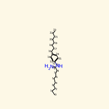 CCCCCCCCCC(N)Nc1ccc(CCCCCCCC)cc1